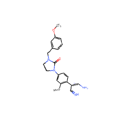 COc1cc(N2CCN(Cc3cccc(OC(F)(F)F)c3)C2=O)ccc1/C(C=N)=C/N